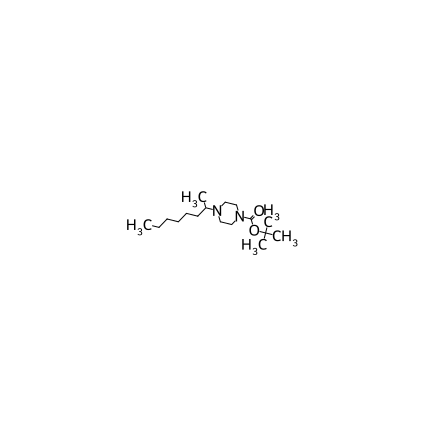 CCCCCCC(C)N1CCN(C(=O)OC(C)(C)C)CC1